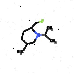 CC1CCC(CF)N(C(C)C)C1